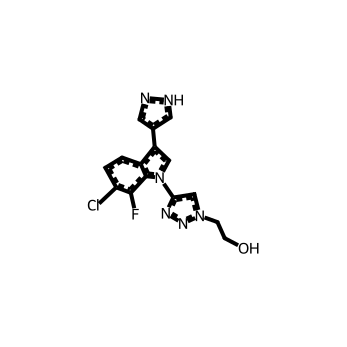 OCCn1cc(-n2cc(-c3cn[nH]c3)c3ccc(Cl)c(F)c32)nn1